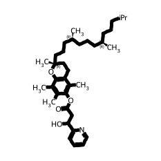 Cc1c(C)c2c(c(C)c1OC(=O)CC(O)c1ccccn1)CC[C@@](C)(CCC[C@H](C)CCC[C@H](C)CCCC(C)C)O2